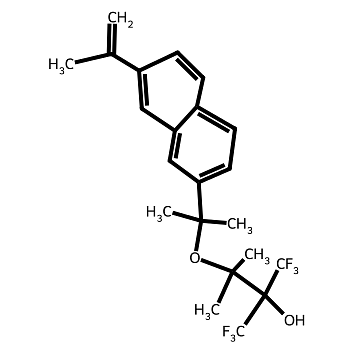 C=C(C)c1ccc2ccc(C(C)(C)OC(C)(C)C(O)(C(F)(F)F)C(F)(F)F)cc2c1